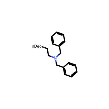 CCCCCCCCCCCCN(Cc1ccccc1)Cc1ccccc1